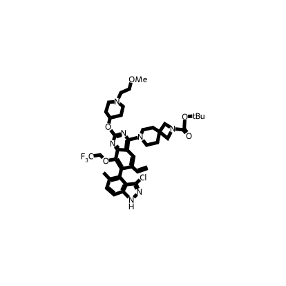 C=Cc1cc2c(N3CCC4(CC3)CN(C(=O)OC(C)(C)C)C4)nc(OC3CCN(CCOC)CC3)nc2c(OCC(F)(F)F)c1-c1c(C)ccc2[nH]nc(Cl)c12